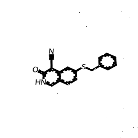 N#Cc1c(=O)[nH]cc2ccc(SCc3ccccc3)cc12